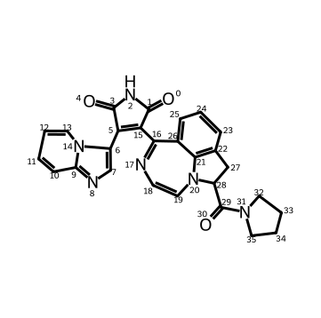 O=C1NC(=O)C(c2cnc3ccccn23)=C1C1=NC=CN2c3c(cccc31)CC2C(=O)N1CCCC1